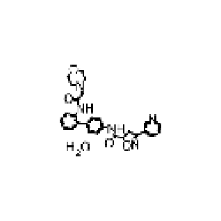 O.O=C(CN1CCOCC1)Nc1ccccc1-c1ccc(NC(=O)C2CC(c3cccnc3)=NO2)cc1